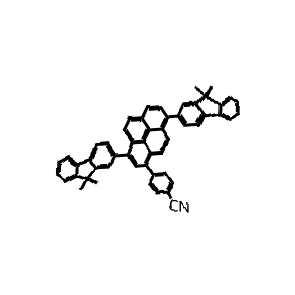 CC1(C)c2ccccc2-c2ccc(-c3ccc4ccc5c(-c6ccc7c(c6)C(C)(C)c6ccccc6-7)cc(-c6ccc(C#N)cc6)c6ccc3c4c65)cc21